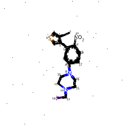 Cc1cscc1-c1cc(N2CCN(CI)CC2)ccc1[N+](=O)[O-]